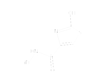 Cc1nc(C(=O)NC(C)C)cs1